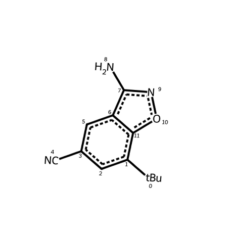 CC(C)(C)c1cc(C#N)cc2c(N)noc12